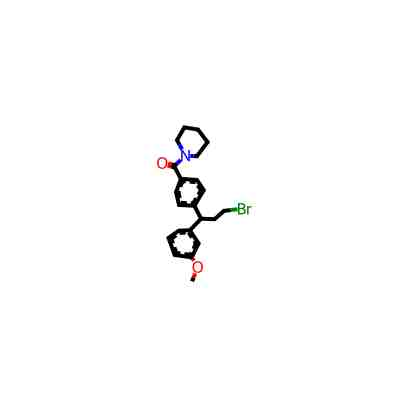 COc1cccc(C(CCBr)c2ccc(C(=O)N3CCCCC3)cc2)c1